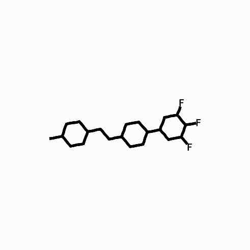 CC1CCC(CCC2CCC(C3CC(F)C(F)C(F)C3)CC2)CC1